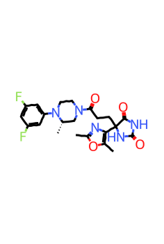 Cc1nc(C2(CCC(=O)N3CCN(c4cc(F)cc(F)c4)[C@@H](C)C3)NC(=O)NC2=O)c(C)o1